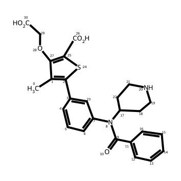 Cc1c(-c2cccc(N(C(=O)c3ccccc3)C3CCNCC3)c2)sc(C(=O)O)c1OCC(=O)O